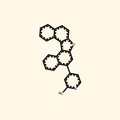 N#Cc1cc(-c2cc3oc4ccc5ccccc5c4c3c3ccccc23)ccn1